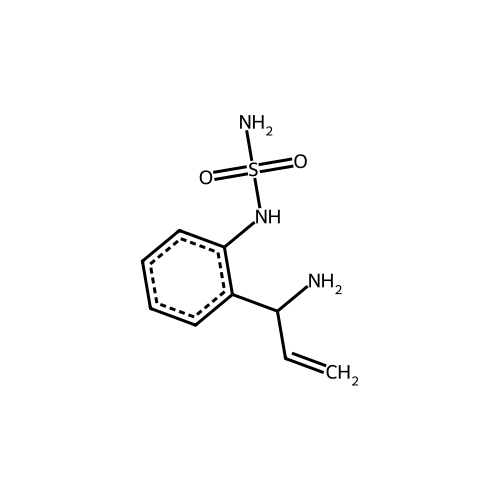 C=CC(N)c1ccccc1NS(N)(=O)=O